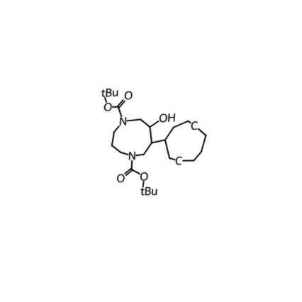 CC(C)(C)OC(=O)N1CCCN(C(=O)OC(C)(C)C)CC(C2CCCCCCCC2)C(O)C1